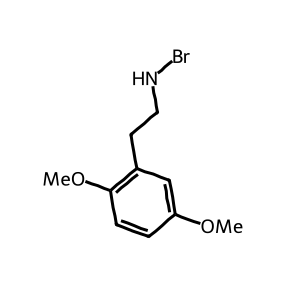 COc1ccc(OC)c(CCNBr)c1